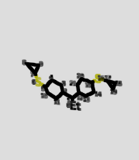 CCC(C1CCC(SC2CC2)CC1)C1CCC(SC2CC2)CC1